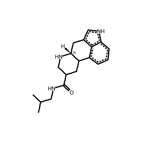 CC(C)CNC(=O)C1CN[C@@H]2Cc3c[nH]c4cccc(c34)C2C1